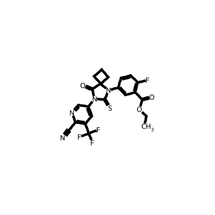 CCOC(=O)c1cc(N2C(=S)N(c3cnc(C#N)c(C(F)(F)F)c3)C(=O)C23CCC3)ccc1F